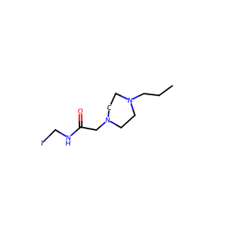 CCCN1CCN(CC(=O)NCI)CC1